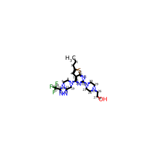 CCCc1cc2c(N3CCn4c(nnc4C(F)(F)F)C3)nc(N3CCN(CCO)CC3)nc2s1